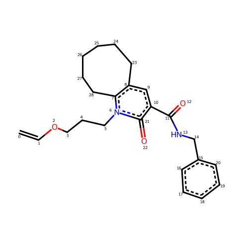 C=COCCCn1c2c(cc(C(=O)NCc3ccccc3)c1=O)CCCCCC2